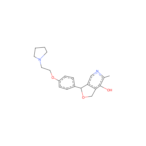 Cc1ncc2c(c1O)COC2c1ccc(OCCN2CCCC2)cc1